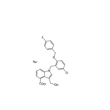 O=C([O-])c1cccc2c1c(CO)cn2Cc1cc(Cl)ccc1OCc1ccc(F)cc1.[Na+]